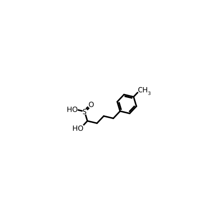 Cc1ccc(CCCC(O)S(=O)O)cc1